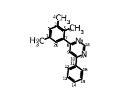 Cc1cc(C)c(C)c(-c2cc(-c3ccccc3)ncn2)c1